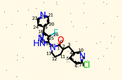 O=C1C(Cc2ccc(Cl)nc2)CCCN1c1[nH]nc(-c2ccncc2)c1F